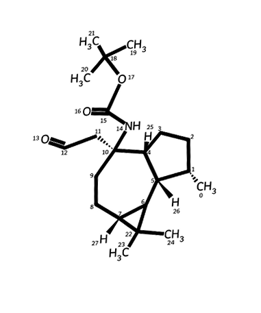 C[C@H]1CC[C@@H]2[C@H]1C1[C@@H](CC[C@@]2(CC=O)NC(=O)OC(C)(C)C)C1(C)C